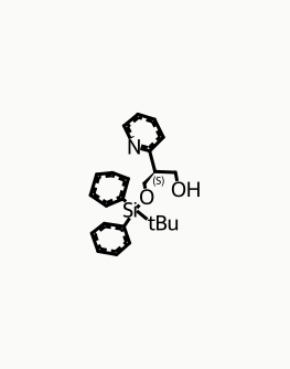 CC(C)(C)[Si](OC[C@H](CO)c1ccccn1)(c1ccccc1)c1ccccc1